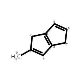 CC1=CC2=C(C=CC2)C1